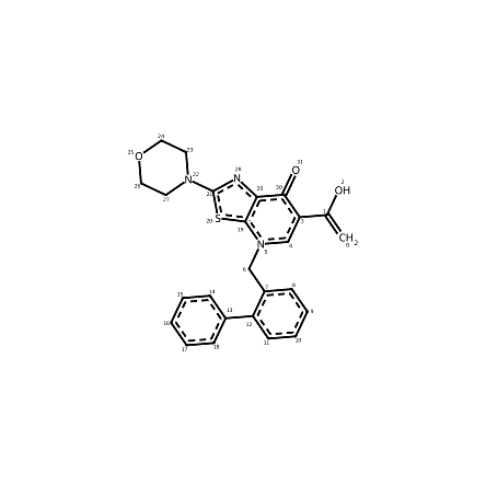 C=C(O)c1cn(Cc2ccccc2-c2ccccc2)c2sc(N3CCOCC3)nc2c1=O